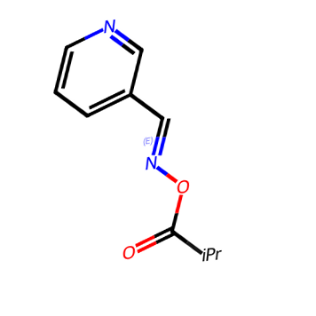 CC(C)C(=O)O/N=C/c1cccnc1